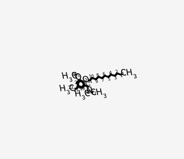 CCCCCCCCCCCCOc1c(CN(C)C)cc(CC)cc1OC